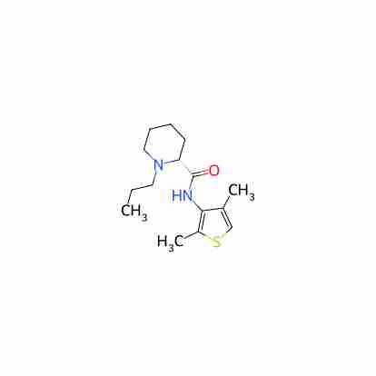 CCCN1CCCC[C@@H]1C(=O)Nc1c(C)csc1C